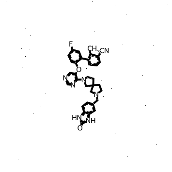 Cc1c(C#N)cccc1-c1cc(F)ccc1Oc1cncnc1N1CCC2(CCN(Cc3ccc4[nH]c(=O)[nH]c4c3)C2)C1